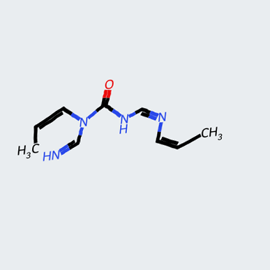 C/C=C\N=C/NC(=O)N(C=N)/C=C\C